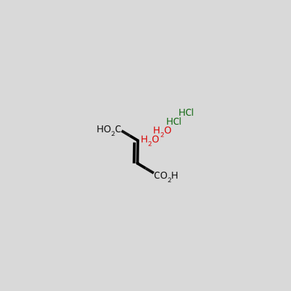 Cl.Cl.O.O.O=C(O)/C=C/C(=O)O